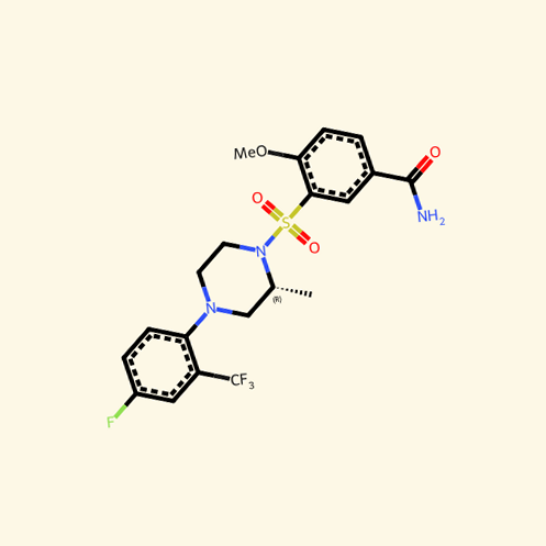 COc1ccc(C(N)=O)cc1S(=O)(=O)N1CCN(c2ccc(F)cc2C(F)(F)F)C[C@H]1C